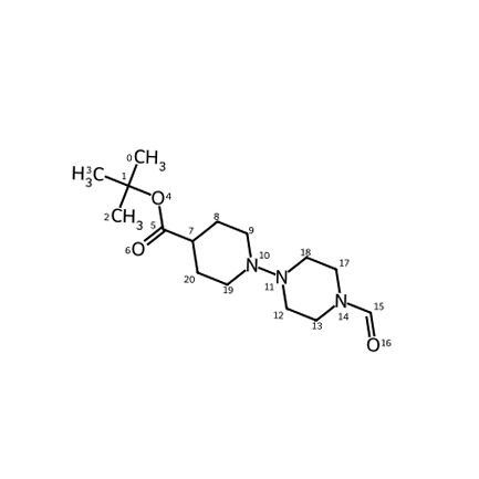 CC(C)(C)OC(=O)C1CCN(N2CCN(C=O)CC2)CC1